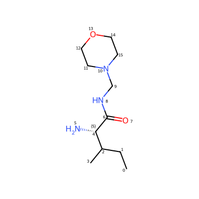 CCC(C)[C@H](N)C(=O)NCN1CCOCC1